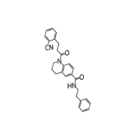 N#Cc1ccccc1CCC(=O)N1CCCc2cc(C(=O)NCCc3ccccc3)ccc21